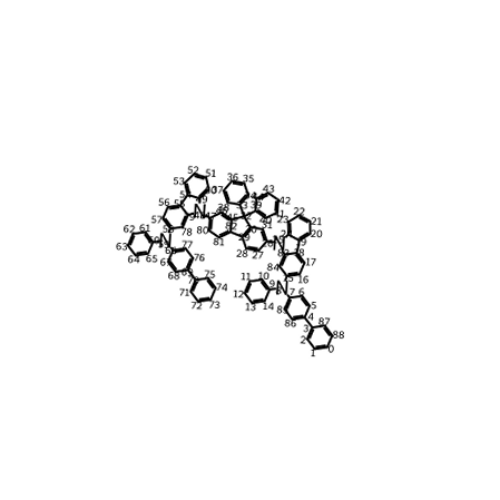 c1ccc(-c2ccc(N(c3ccccc3)c3ccc4c5ccccc5n(-c5ccc6c(c5)C(c5ccccc5)(c5ccccc5)c5cc(-n7c8ccccc8c8ccc(N(c9ccccc9)c9ccc(-c%10ccccc%10)cc9)cc87)ccc5-6)c4c3)cc2)cc1